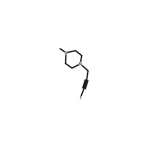 CN1CCN(CC#CI)CC1